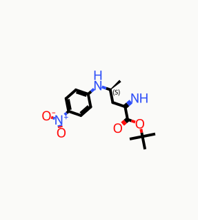 C[C@@H](CC(=N)C(=O)OC(C)(C)C)Nc1ccc([N+](=O)[O-])cc1